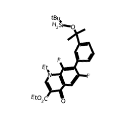 CCOC(=O)c1cn(CC)c2c(F)c(-c3cccc(C(C)(C)O[SiH2]C(C)(C)C)c3)c(F)cc2c1=O